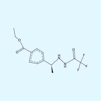 CCOC(=O)c1ccc([C@H](C)NNC(=O)C(F)(F)F)cc1